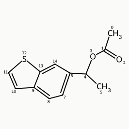 CC(=O)OC(C)c1ccc2ccsc2c1